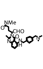 CNC(=O)CCC(C=O)n1c(C)nc2cccc(NCc3ccc(CN(C)C)cc3)c2c1=O